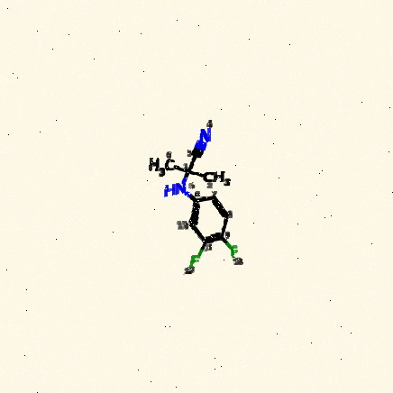 CC(C)(C#N)Nc1ccc(F)c(F)c1